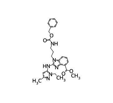 CCn1nc(C)cc1Nc1nc2c(C(=O)OC)cccc2n1CCCNC(=O)OCc1ccccc1